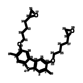 Cc1cc2sc3cc(C)c(OCCCCC4CO4)cc3c2cc1OCCCCC1CO1